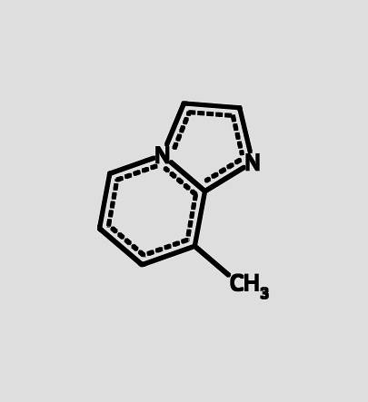 Cc1cccn2ccnc12